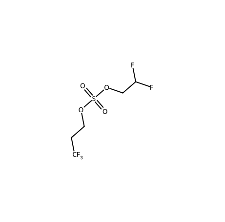 O=S(=O)(OCCC(F)(F)F)OCC(F)F